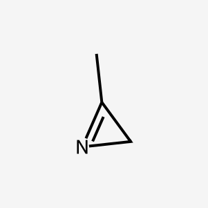 CC1=NC1